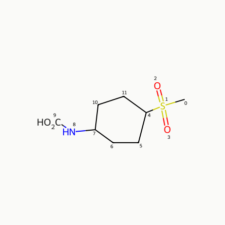 CS(=O)(=O)C1CCC(NC(=O)O)CC1